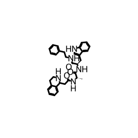 C[C@H](NC(=O)CC1NCCc2ccccc21)C(=O)N[C@H](Cc1c[nH]c2ccccc12)C(=O)NCCc1ccccc1